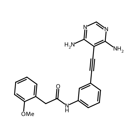 COc1ccccc1CC(=O)Nc1cccc(C#Cc2c(N)ncnc2N)c1